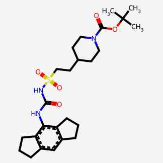 CC(C)(C)OC(=O)N1CCC(CCS(=O)(=O)NC(=O)Nc2c3c(cc4c2CCC4)CCC3)CC1